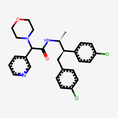 C[C@@H](NC(=O)C(c1cccnc1)N1CCOCC1)[C@H](Cc1ccc(Cl)cc1)c1ccc(Cl)cc1